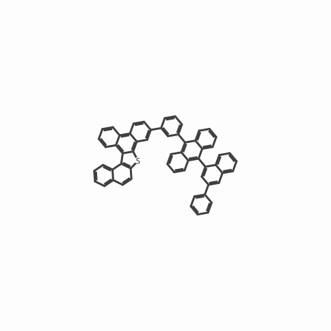 c1ccc(-c2cc(-c3c4ccccc4c(-c4cccc(-c5ccc6c7ccccc7c7c(sc8ccc9ccccc9c87)c6c5)c4)c4ccccc34)c3ccccc3c2)cc1